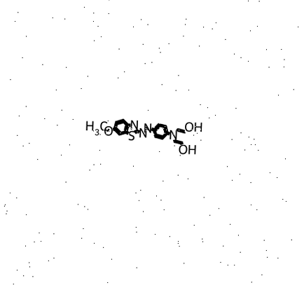 COc1ccc2nc(/N=N/c3ccc(N(CCO)CCO)cc3)sc2c1